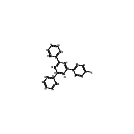 Cc1ccc(-c2nc(-c3ncccn3)nc(-c3ncccn3)n2)cc1